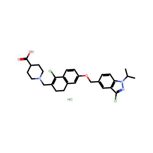 CC(C)n1nc(Cl)c2cc(COc3ccc4c(c3)CCC(CN3CCC(C(=O)O)CC3)=C4Cl)ccc21.Cl